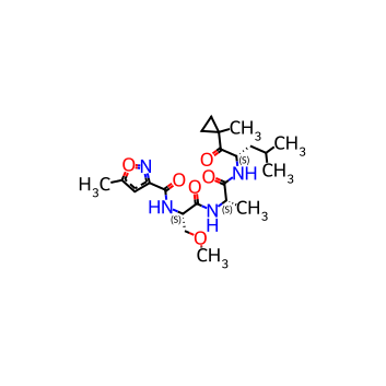 COC[C@H](NC(=O)c1cc(C)on1)C(=O)N[C@@H](C)C(=O)N[C@@H](CC(C)C)C(=O)C1(C)CC1